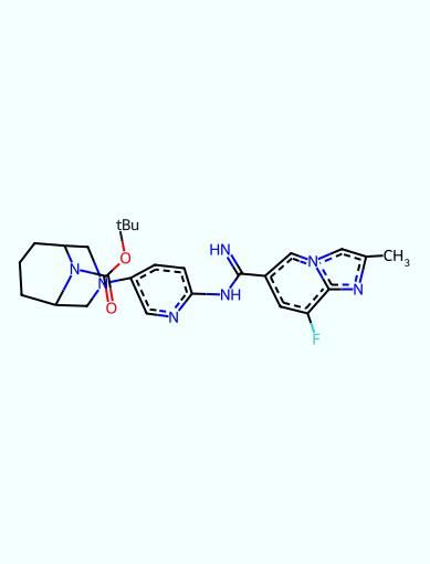 Cc1cn2cc(C(=N)Nc3ccc(N4CC5CCCC(C4)N5C(=O)OC(C)(C)C)cn3)cc(F)c2n1